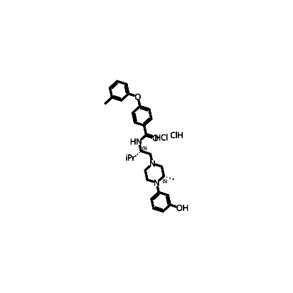 Cc1cccc(Oc2ccc(C(=O)N[C@H](CN3CCN(c4cccc(O)c4)[C@@H](C)C3)C(C)C)cc2)c1.Cl.Cl